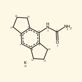 NC(=O)Nc1c2c(cc3c1CCC3)CCC2.[K]